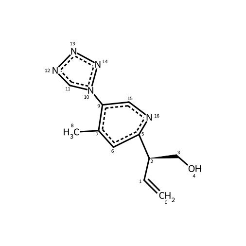 C=C[C@H](CO)c1cc(C)c(-n2cnnn2)cn1